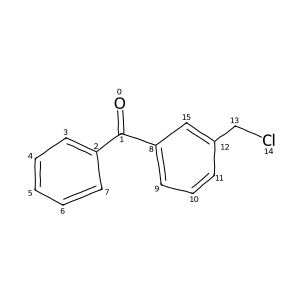 O=C(c1ccccc1)c1cccc(CCl)c1